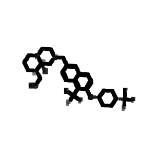 OC[C@H]1CCCN2CCN(Cc3ccc4c(C(F)(F)F)c(O[C@H]5CC[C@@H](C(F)(F)F)CC5)ccc4c3)C[C@@H]12